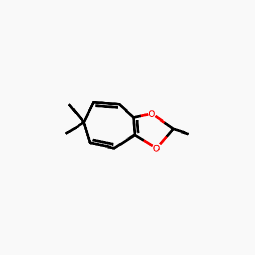 CC1OC2=C(C=CC(C)(C)C=C2)O1